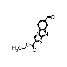 CCOC(=O)c1cn2c(nc3cc(C=O)ccc32)s1